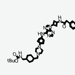 CC(C)(C)OC(=O)NCC1CCC(CN2CCN(c3ccc(Nc4ncnc5c4ncn5C4CC(NC(=O)Cc5ccccc5)C4)cc3)CC2)CC1